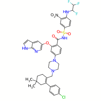 CC1(C)CCC(CN2CCN(c3ccc(C(=O)NS(=O)(=O)c4ccc(NC(F)C(F)F)c([N+](=O)[O-])c4)c(Oc4cnc5[nH]ccc5c4)c3)CC2)=C(c2ccc(Cl)cc2)C1